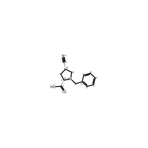 N#C[C@H]1C[C@@H](C(=O)O)N(Cc2ccccc2)C1